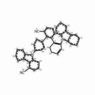 N#Cc1cccc(C2=C(n3c4ccccc4c4ccccc43)C=CCC2)c1-c1ccc(-n2c3ccccc3c3c(C#N)cccc32)cc1